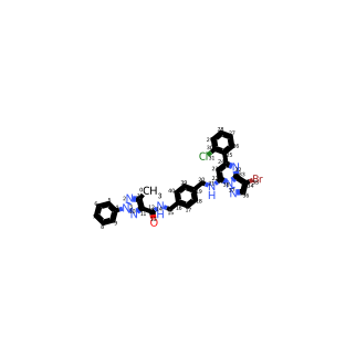 Cc1nn(-c2ccccc2)nc1C(=O)NCc1ccc(CNc2cc(-c3ccccc3Cl)nc3c(Br)cnn23)cc1